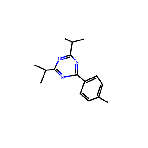 Cc1ccc(-c2nc(C(C)C)nc(C(C)C)n2)cc1